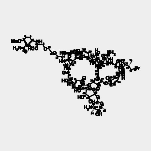 COc1ccc(NC(=O)COCCOCCNC(=O)[C@@H]2NC(=O)C[C@H](O)c3ccc(c(Cl)c3)Oc3cc4cc(c3OC3O[C@@H](CO)[C@@H](O)[C@H](O)[C@@H]3O[C@@H]3C[C@](C)(N)[C@H](O)[C@@H](C)O3)Oc3ccc(cc3Cl)[C@@H](O)[C@@H](NC(=O)[C@H](C)CC(C)C)C(=O)N[C@@H](CC(N)=O)C(=O)N[C@H]4C(=O)N[C@@H](C(N)=O)c3ccc(O)c(c3)-c3c(O)cc(O)cc32)c(O)c1C(N)=O